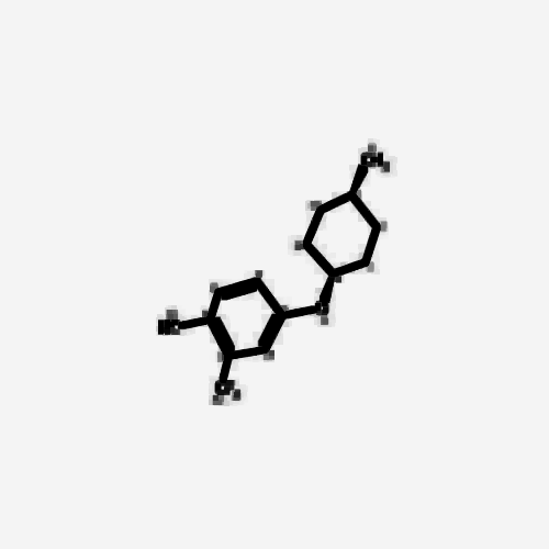 C[C@H]1CC[C@@H](Oc2ccc(C#N)c(C(F)(F)F)c2)CC1